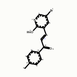 COc1ncc(Br)cc1/C=C/C(=O)c1ccc(C)cc1